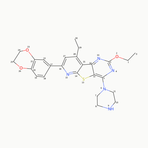 CCOc1nc(N2CCNCC2)c2sc3nc(-c4ccc5c(c4)OCCO5)cc(CC)c3c2n1